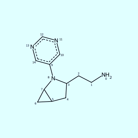 NCCC1CC2CC2N1c1cncnc1